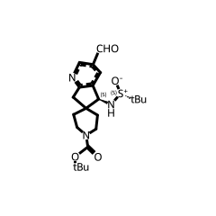 CC(C)(C)OC(=O)N1CCC2(CC1)Cc1ncc(C=O)cc1[C@H]2N[S@+]([O-])C(C)(C)C